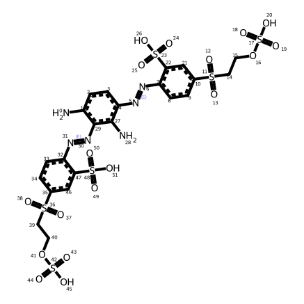 Nc1ccc(/N=N/c2ccc(S(=O)(=O)CCOS(=O)(=O)O)cc2S(=O)(=O)O)c(N)c1/N=N/c1ccc(S(=O)(=O)CCOS(=O)(=O)O)cc1S(=O)(=O)O